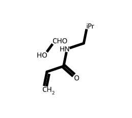 C=CC(=O)NCC(C)C.O=CO